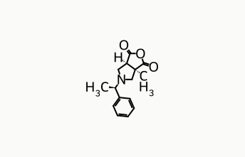 C[C@H](c1ccccc1)N1C[C@H]2C(=O)OC(=O)[C@@]2(C)C1